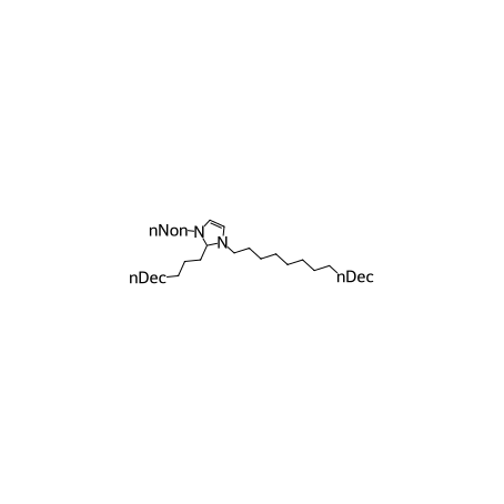 CCCCCCCCCCCCCCCCCCN1C=CN(CCCCCCCCC)C1CCCCCCCCCCCCC